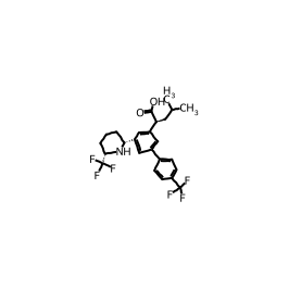 CC(C)C[C@H](C(=O)O)c1cc(-c2ccc(C(F)(F)F)cc2)cc([C@H]2CCC[C@@H](C(F)(F)F)N2)c1